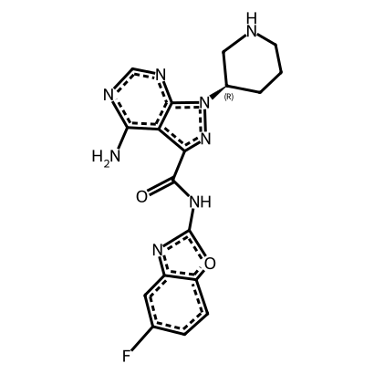 Nc1ncnc2c1c(C(=O)Nc1nc3cc(F)ccc3o1)nn2[C@@H]1CCCNC1